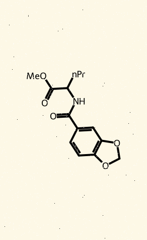 CCCC(NC(=O)c1ccc2c(c1)OCO2)C(=O)OC